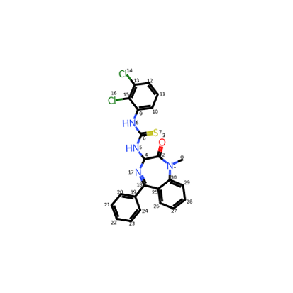 CN1C(=O)C(NC(=S)Nc2cccc(Cl)c2Cl)N=C(c2ccccc2)c2ccccc21